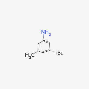 CC[C@@H](C)c1cc(C)cc(N)c1